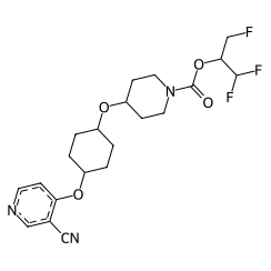 N#Cc1cnccc1OC1CCC(OC2CCN(C(=O)OC(CF)C(F)F)CC2)CC1